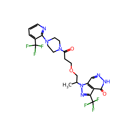 CC(COCCC(=O)N1CCN(c2ncccc2C(F)(F)F)CC1)n1nc(C(F)(F)F)c2c(=O)[nH]ncc21